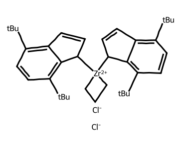 CC(C)(C)c1ccc(C(C)(C)C)c2c1C=C[CH]2[Zr+2]1([CH]2C=Cc3c(C(C)(C)C)ccc(C(C)(C)C)c32)[CH2]C[CH2]1.[Cl-].[Cl-]